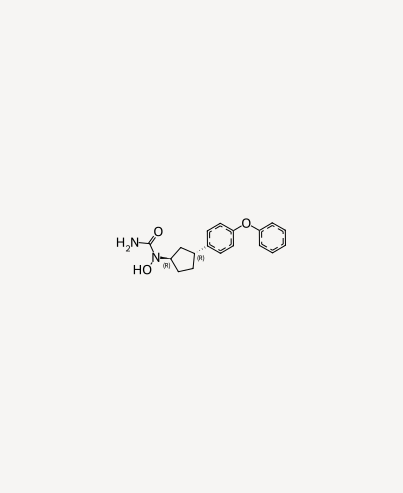 NC(=O)N(O)[C@@H]1CC[C@@H](c2ccc(Oc3ccccc3)cc2)C1